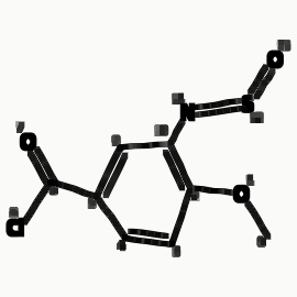 COc1ccc(C(=O)Cl)cc1N=S=O